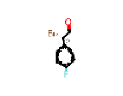 O=C[C@@H](Br)c1ccc(F)cc1